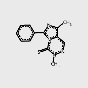 Cc1nc(-c2ccccc2)n2c(=S)n(C)ncc12